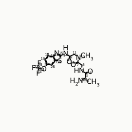 C[C@H](N)C(=O)NCC(=O)N(C)CC(=O)Nc1nc2ccc(OC(F)(F)F)cc2s1